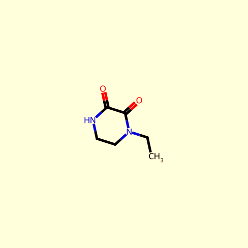 CCN1CCNC(=O)C1=O